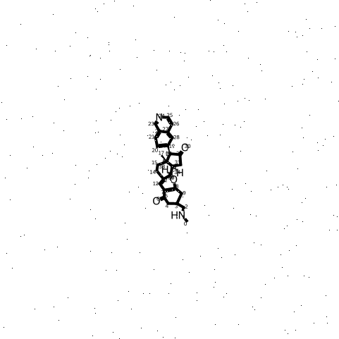 CNCC1CC(=O)C2=C(C1)O[C@@H]1C(=C2)CC[C@]2(C)[C@@H](c3ccc4cnccc4c3)C(=O)C[C@@H]12